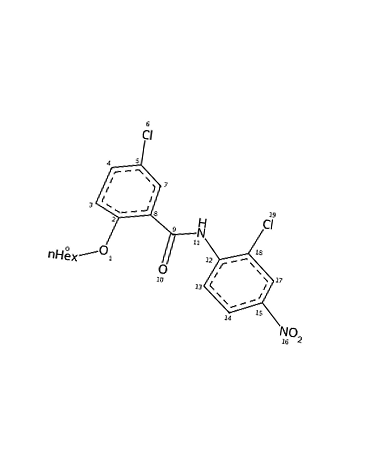 CCCCCCOc1ccc(Cl)cc1C(=O)Nc1ccc([N+](=O)[O-])cc1Cl